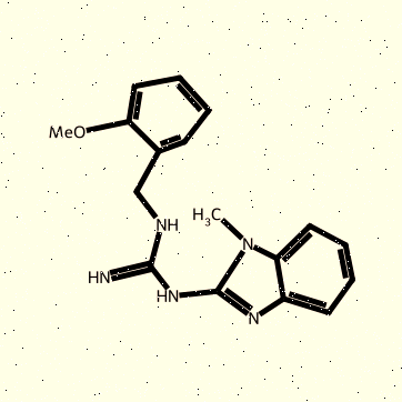 COc1ccccc1CNC(=N)Nc1nc2ccccc2n1C